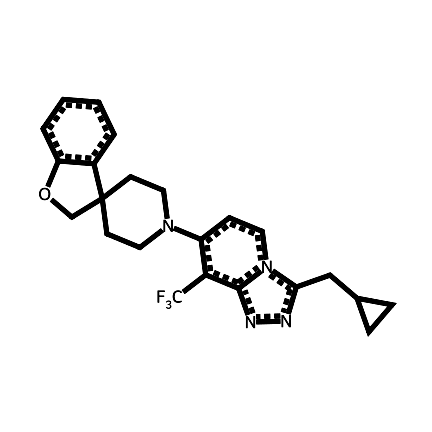 FC(F)(F)c1c(N2CCC3(CC2)COc2ccccc23)ccn2c(CC3CC3)nnc12